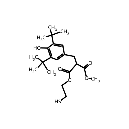 COC(=O)C(Cc1cc(C(C)(C)C)c(O)c(C(C)(C)C)c1)C(=O)OCCS